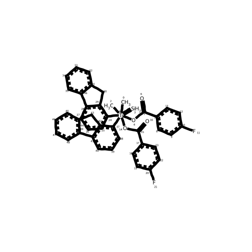 [CH3][Ti]([CH3])(=[SiH2])([O]C(=O)c1ccc(F)cc1)([O]C(=O)c1ccc(F)cc1)([c]1cccc2c1Cc1ccccc1-2)[c]1cccc2c1Cc1ccccc1-2